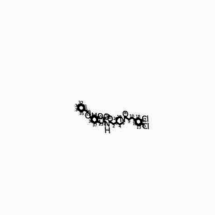 O=C(CC1CCN(C(=O)CCc2ccc(Cl)c(Cl)c2)CC1)N[C@@H](Cc1ccc(OCc2ccccc2)cc1)C(=O)O